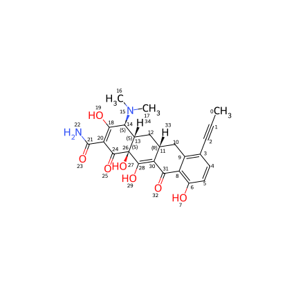 CC#Cc1ccc(O)c2c1C[C@H]1C[C@H]3[C@H](N(C)C)C(O)=C(C(N)=O)C(=O)[C@@]3(O)C(O)=C1C2=O